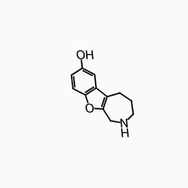 Oc1ccc2oc3c(c2c1)CCCNC3